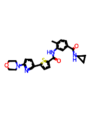 Cc1ccc(C(=O)NC2CC2)cc1NC(=O)c1ccc(-c2ccc(N3CCOCC3)nc2)s1